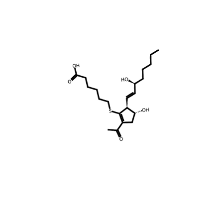 CCCCC[C@H](O)C=C[C@@H]1C(SCCCCCC(=O)O)=C(C(C)=O)C[C@H]1O